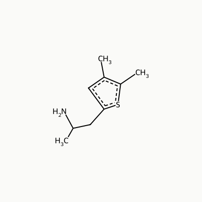 Cc1cc(CC(C)N)sc1C